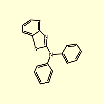 c1ccc(N(c2ccccc2)c2nc3ccccc3s2)cc1